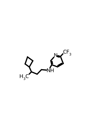 CC(CCNc1ccc(C(F)(F)F)nc1)C1CCC1